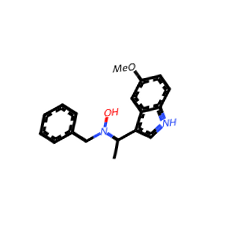 COc1ccc2[nH]cc(C(C)N(O)Cc3ccccc3)c2c1